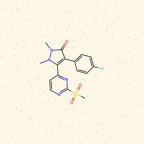 Cn1c(-c2ccnc(S(C)(=O)=O)n2)c(-c2ccc(F)cc2)c(=O)n1C